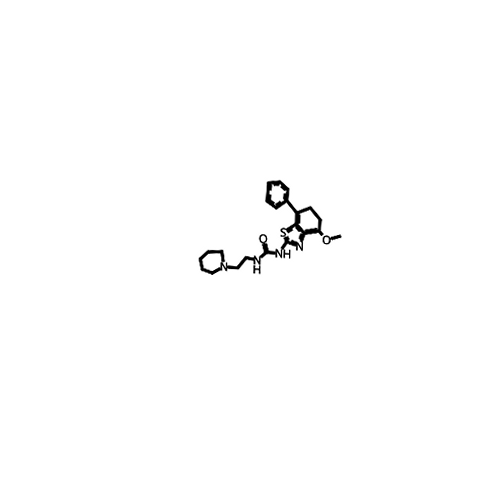 COC1=c2nc(NC(=O)NCCN3CCCCC3)sc2=C(c2ccccc2)CC1